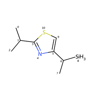 CC(C)c1nc(C(C)[SiH3])cs1